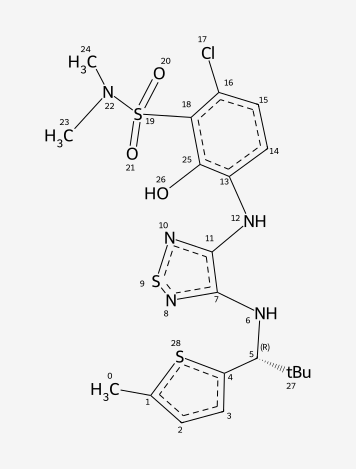 Cc1ccc([C@H](Nc2nsnc2Nc2ccc(Cl)c(S(=O)(=O)N(C)C)c2O)C(C)(C)C)s1